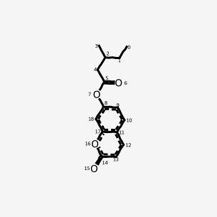 CCC(C)CC(=O)Oc1ccc2ccc(=O)oc2c1